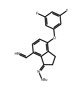 CCCCN=C1CCc2c(Oc3cc(F)cc(F)c3)ccc([C]=N)c21